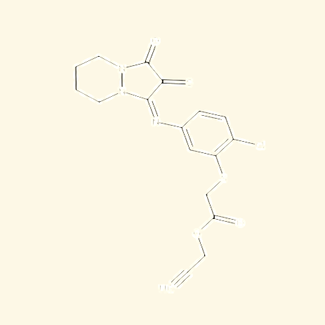 C#CCOC(=O)CSc1cc(N=C2C(=S)C(=O)N3CCCCN23)ccc1Cl